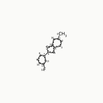 Cc1ccc2cc(-c3cccc(F)c3)sc2c1